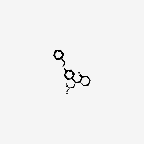 O=C1CCCC[C@H]1[C@@H](C[N+](=O)[O-])c1ccc(OCc2ccccc2)cc1